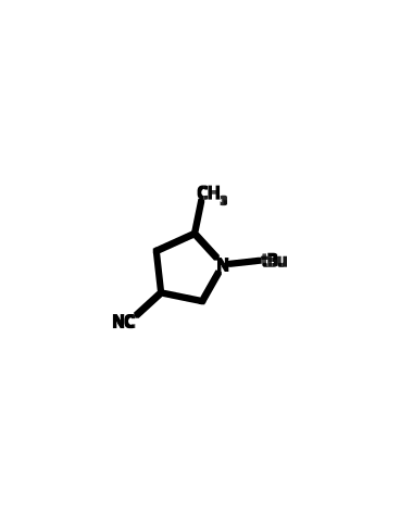 CC1CC(C#N)CN1C(C)(C)C